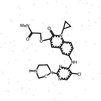 CNC(=O)COc1cc2cc(Nc3nc(N4CCN(I)CC4)ncc3Cl)ccc2n(C2CC2)c1=O